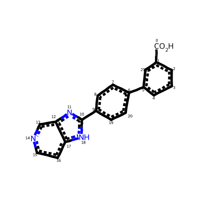 O=C(O)c1cccc(-c2ccc(-c3nc4cnccc4[nH]3)cc2)c1